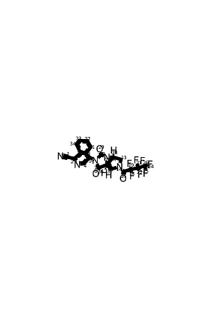 N#Cc1ncc(N2C(=O)[C@@H]3[C@@H]4C[C@@H](CN4C(=O)C(F)(F)C(F)(F)C(F)(F)F)N3C2=O)c2ccccc12